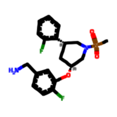 CS(=O)(=O)N1C[C@H](Oc2cc(CN)ccc2F)C[C@H](c2ccccc2F)C1